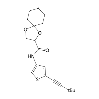 CC(C)(C)C#Cc1cc(NC(=O)C2COC3(CC[CH]CC3)O2)cs1